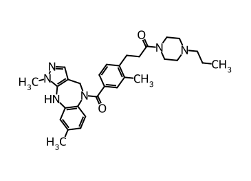 CCCN1CCN(C(=O)CCc2ccc(C(=O)N3Cc4cnn(C)c4Nc4cc(C)ccc43)cc2C)CC1